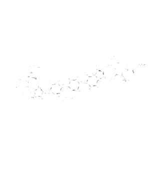 COC(=O)N[C@H](C(=O)N1CCC[C@H]1c1nc2ccc(-c3ccc4c(c3)CCc3cc(-c5cnc([C@@H]6CCCN6C(=O)OC(C)(C)C)[nH]5)ccc3-4)cc2[nH]1)C(C)C